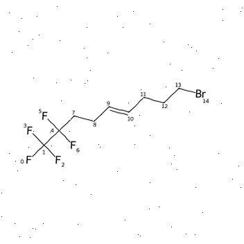 FC(F)(F)C(F)(F)CC/C=C/CCCBr